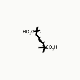 CC(C)(C/C=C/CC(C)(C)C(=O)O)C(=O)O